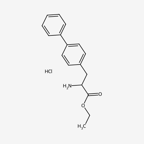 CCOC(=O)C(N)Cc1ccc(-c2ccccc2)cc1.Cl